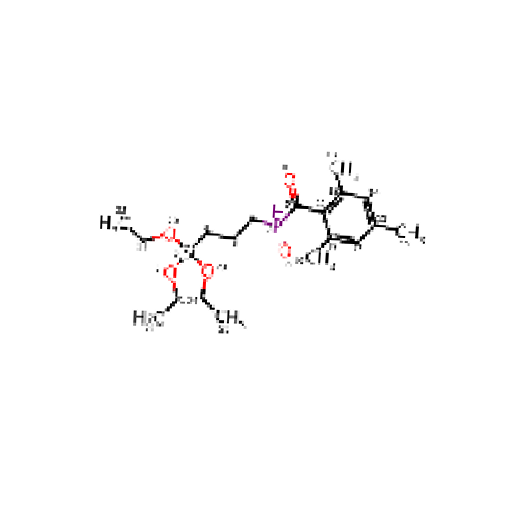 CCO[Si](CCC[PH](=O)C(=O)c1c(C)cc(C)cc1C)(OCC)OCC